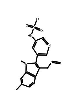 C=NCc1c(-c2cncc(NS(=O)(=O)CC)c2)n(C)c2cc(C)ccc12